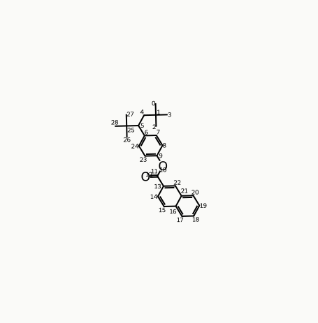 CC(C)(C)CC(c1ccc(OC(=O)c2ccc3ccccc3c2)cc1)C(C)(C)C